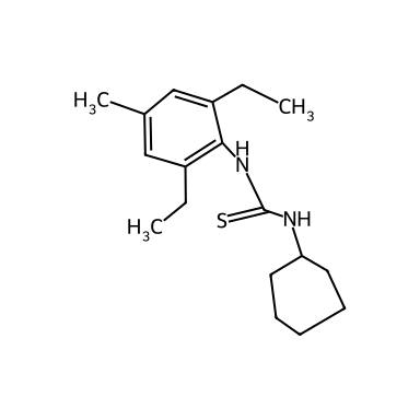 CCc1cc(C)cc(CC)c1NC(=S)NC1CCCCC1